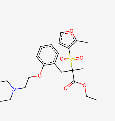 CCOC(=O)C(C)(Cc1ccccc1OCCN1CCCCC1)S(=O)(=O)c1ccoc1C